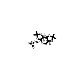 CC1(C)O[C@@H]2[C@@H](CO[C@@]3(CO[SH](=O)=O)OC(C)(C)O[C@@H]23)O1